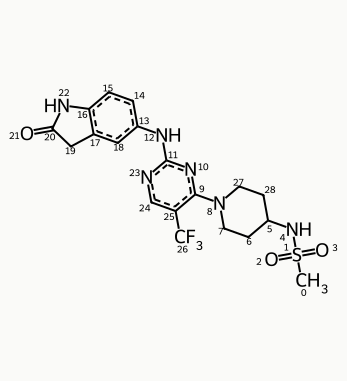 CS(=O)(=O)NC1CCN(c2nc(Nc3ccc4c(c3)CC(=O)N4)ncc2C(F)(F)F)CC1